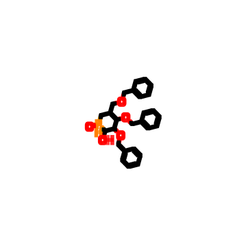 O=[PH]1CC(COCc2ccccc2)C(OCc2ccccc2)C(OCc2ccccc2)C1O